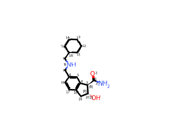 NC(=O)[C@@H]1c2cc(CNCC3CCCCC3)ccc2C[C@H]1O